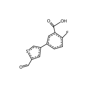 O=Cc1cc(-c2ccc(F)c(C(=O)O)c2)cs1